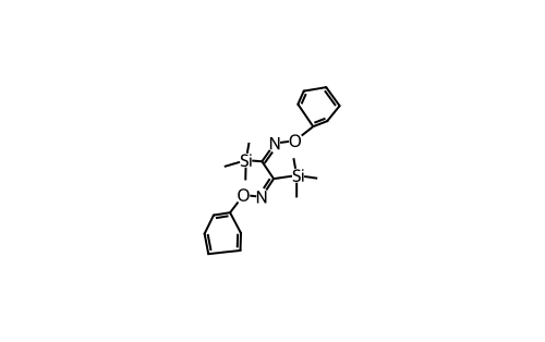 C[Si](C)(C)C(=N/Oc1ccccc1)/C(=N\Oc1ccccc1)[Si](C)(C)C